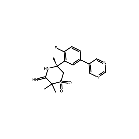 CC1(C)C(=N)N[C@](C)(c2cc(-c3cncnc3)ccc2F)CS1(=O)=O